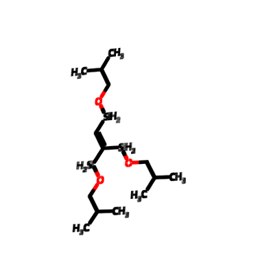 CC(C)CO[SiH2]C=C([SiH2]OCC(C)C)[SiH2]OCC(C)C